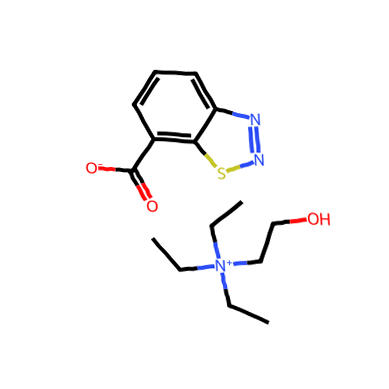 CC[N+](CC)(CC)CCO.O=C([O-])c1cccc2nnsc12